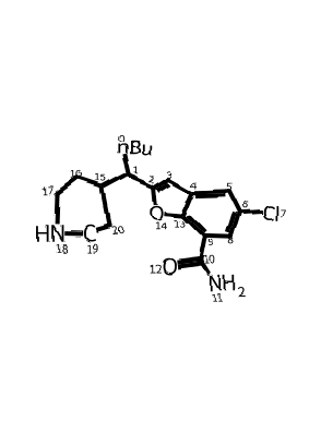 CCCCC(c1cc2cc(Cl)cc(C(N)=O)c2o1)C1CCNCC1